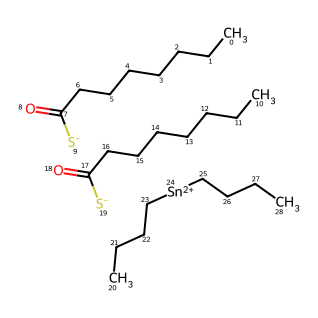 CCCCCCCC(=O)[S-].CCCCCCCC(=O)[S-].CCC[CH2][Sn+2][CH2]CCC